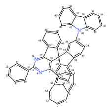 C1=CC2=CC=CC(c3nc(-c4ccccc4)nc4c3C3(c5ccccc5-c5ccc(-n6c7ccccc7c7ccccc76)cc53)c3ccccc3-4)=C(C=C1)C2